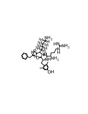 [2H]C([2H])(N)C([2H])([2H])C([2H])([2H])C([2H])([2H])C(NC(=O)C(Cc1c(C)cc(O)cc1C)NC(=O)C(N)CCCNC(=N)N)c1nc(Cc2ccccc2)no1